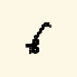 CCCCCCCOc1ccc(C2C=CC=C(F)C2(F)C(=O)O)cc1